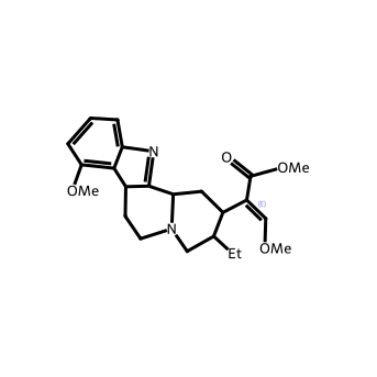 CCC1CN2CCC3C(=Nc4cccc(OC)c43)C2CC1/C(=C\OC)C(=O)OC